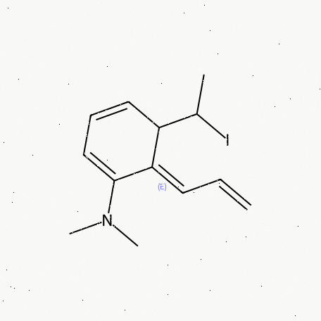 C=C/C=C1/C(N(C)C)=CC=CC1C(C)I